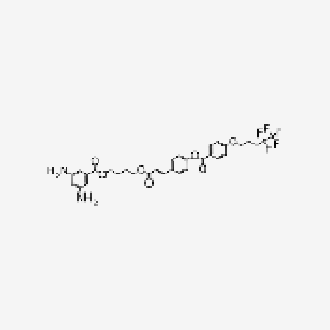 Nc1cc(N)cc(C(=O)OCCCCOC(=O)C=Cc2ccc(OC(=O)c3ccc(OCCCC(F)(F)C(F)(F)F)cc3)cc2)c1